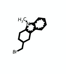 Cn1c2c(c3ccccc31)CC(CBr)CC2